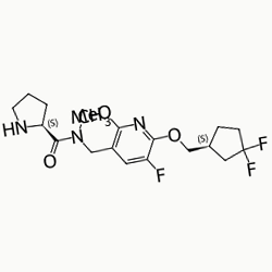 COc1nc(OC[C@H]2CCC(F)(F)C2)c(F)cc1CN(C)C(=O)[C@@H]1CCCN1